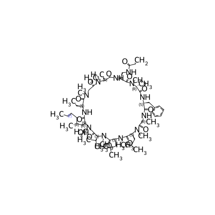 C=CC(=O)NC[C@@H]1NC(=O)[C@H](C)N(C)C(=O)CN(C)C(=O)[C@H](CC)NC(=O)[C@H]([C@H](O)[C@H](C)C/C=C/C)N(C)C(=O)[C@H](C(C)C)N(C)C(=O)[C@H](CC(C)C)N(C)C(=O)[C@H](CC(C)C)N(C)C(=O)[C@@H](C)NC(=O)[C@H](Cc2ccccc2)NC(=O)[C@@H](C)N(C)C1=O